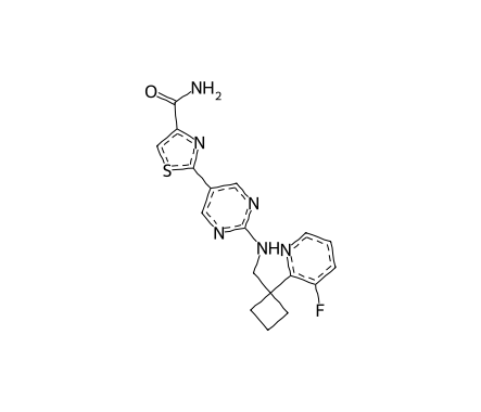 NC(=O)c1csc(-c2cnc(NCC3(c4ncccc4F)CCC3)nc2)n1